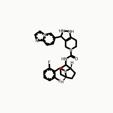 O=C(NC1CC[C@H]2CC[C@@H]1N2Cc1c(F)cccc1F)N1CCC2=C(C1)C(c1ccc3nccn3c1)NN2